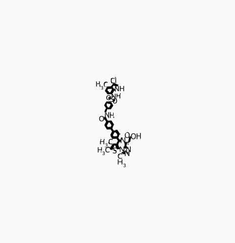 Cc1sc2c(c1C)C(c1ccc(-c3ccc(C(=O)NCc4ccc(S(=O)(=O)Nc5ccc(C)c6c(Cl)c[nH]c56)cc4)cc3)cc1)=N[C@@H](CC(=O)O)c1nnc(C)n1-2